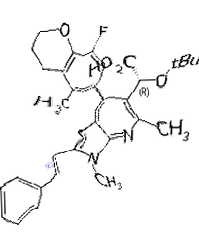 Cc1nc2c(cc(/C=C/c3ccccc3)n2C)c(-c2cc(F)c3c(c2C)CCCO3)c1[C@@H](OC(C)(C)C)C(=O)O